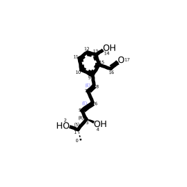 C[C@H](O)[C@H](O)/C=C/C=C/c1cccc(O)c1C=O